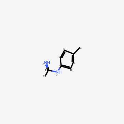 CC(=N)Nc1ccc(C)cc1